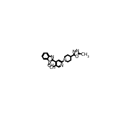 Cc1nnc(C2CCN(c3cc(-c4nc5ccccc5n4C)c(Cl)cn3)CC2)o1